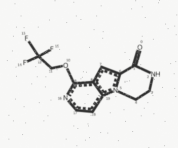 O=C1NCCn2c1cc1c(OCC(F)(F)F)nccc12